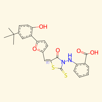 CC(C)(C)c1ccc(O)c(-c2ccc(/C=C3/SC(=S)N(Nc4ccccc4C(=O)O)C3=O)o2)c1